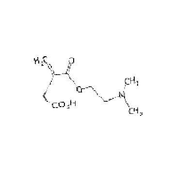 C=C(CC(=O)O)C(=O)OCCN(C)C